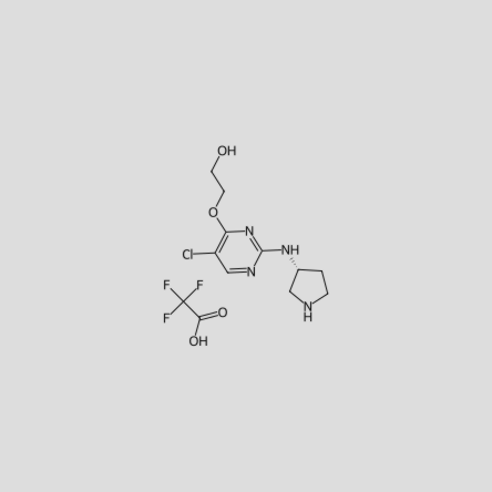 O=C(O)C(F)(F)F.OCCOc1nc(N[C@@H]2CCNC2)ncc1Cl